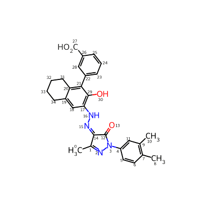 CC1=NN(c2ccc(C)c(C)c2)C(=O)/C1=N\Nc1cc2c(c(-c3cccc(C(=O)O)c3)c1O)CCCC2